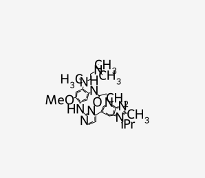 C=CC(=O)Nc1cc(Nc2nccc(-c3cnc4nc(C)n(C(C)C)c4c3)n2)c(OC)cc1N(C)CCN(C)C